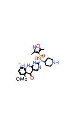 COc1ccc(F)cc1C(=O)c1cnc(N(C2CCNCC2)S(=O)(=O)c2c(C)noc2C)nc1N